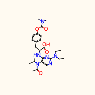 CCN(CC)c1ncc(N(C(C)=O)C(C)C)c(N[C@@H](Cc2ccc(OC(=O)N(C)C)cc2)C(=O)O)n1